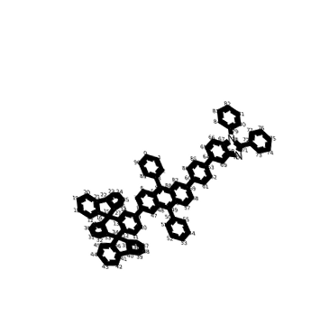 c1ccc(-c2c3ccc(-c4ccc5c(c4)C4(c6ccccc6-c6ccccc64)c4ccccc4C54c5ccccc5-c5ccccc54)cc3c(-c3ccccc3)c3ccc(-c4ccc(-c5ccc6c(c5)nc(-c5ccccc5)n6-c5ccccc5)cc4)cc23)cc1